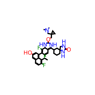 CCc1c(F)ccc2cc(O)cc(C3=C(F)C4NC(OCC5(CN(C)C)CC5)NC(C5CCCC6(CNC(=O)N6)C5)=C4C=C3F)c12